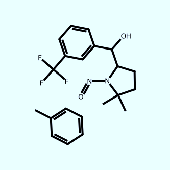 CC1(C)CCC(C(O)c2cccc(C(F)(F)F)c2)N1N=O.Cc1ccccc1